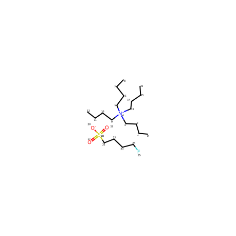 CCCC[N+](CCCC)(CCCC)CCCC.O=S(=O)([O-])CCCCF